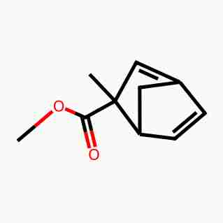 COC(=O)C1(C)C=C2C=CC1C2